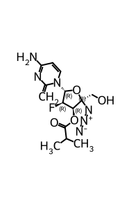 C=C1N=C(N)C=CN1[C@@H]1O[C@@](CO)(N=[N+]=[N-])[C@@H](OC(=O)C(C)C)[C@H]1F